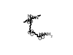 CCC=NNCC(=O)C(NN=CCC)OC(=O)CCCCC(=O)OC(=O)CCCCC(=O)OC(=O)NN